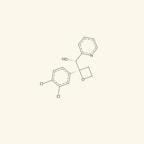 O[C@H](c1ccccn1)[C@@]1(c2ccc(Cl)c(Cl)c2)CCO1